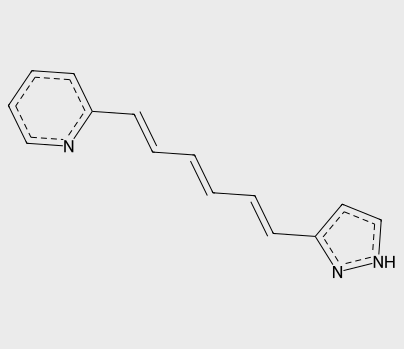 C(=C\C=C\c1cc[nH]n1)/C=C/c1ccccn1